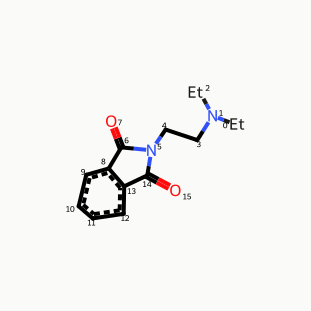 CCN(CC)CCN1C(=O)c2ccccc2C1=O